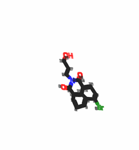 O=C1c2cccc3c(Br)ccc(c23)C(=O)N1CCCO